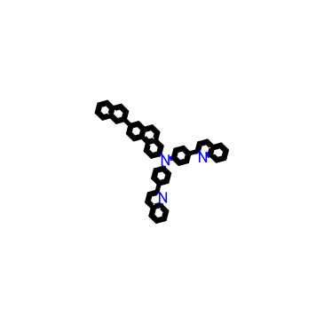 c1ccc2cc(-c3ccc4c(ccc5cc(N(c6ccc(-c7ccc8ccccc8n7)cc6)c6ccc(-c7ccc8ccccc8n7)cc6)ccc54)c3)ccc2c1